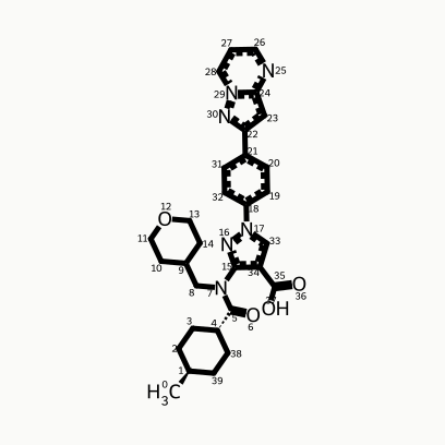 C[C@H]1CC[C@H](C(=O)N(CC2CCOCC2)c2nn(-c3ccc(-c4cc5ncccn5n4)cc3)cc2C(=O)O)CC1